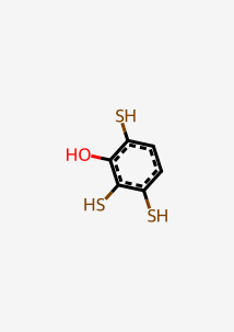 Oc1c(S)ccc(S)c1S